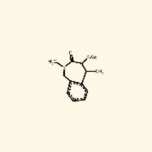 CNC1C(=O)N(C)Cc2ccccc2C1C